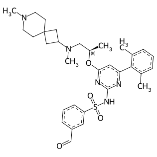 Cc1cccc(C)c1-c1cc(O[C@H](C)CN(C)C2CC3(CCN(C)CC3)C2)nc(NS(=O)(=O)c2cccc(C=O)c2)n1